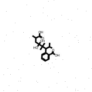 CC(CC(O)(O)C(C)(C)C(c1ccccc1C(=O)O)C(C)C)C(=O)O